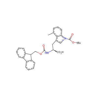 Cc1cccc2c1c(C[C@H](NC(=O)OCC1c3ccccc3-c3ccccc31)C(=O)O)cn2C(=O)OC(C)(C)C